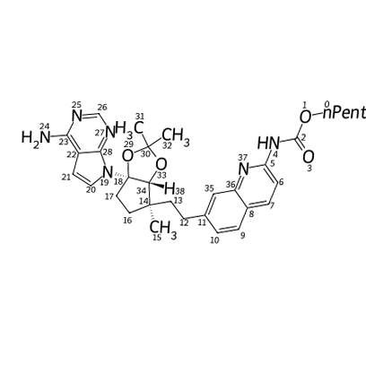 CCCCCOC(=O)Nc1ccc2ccc(CC[C@@]3(C)CC[C@@]4(n5ccc6c(N)ncnc65)OC(C)(C)O[C@H]34)cc2n1